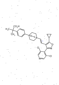 CC(C)(C(=O)O)c1ccc(C23CCC(/C=C/c4c(-c5c(Cl)cncc5Cl)noc4C4CC4)(CC2)CO3)cc1